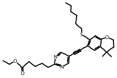 CCCCCCSc1cc2c(cc1C#Cc1cnc(CCCCC(=O)OCC)nc1)C(C)(C)CCO2